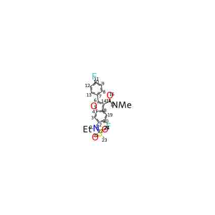 CCN(c1cc2oc(-c3ccc(F)cc3)c(C(=O)NC)c2cc1F)S(C)(=O)=O